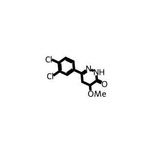 COC1CC(c2ccc(Cl)c(Cl)c2)=NNC1=O